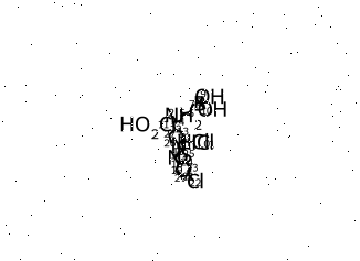 Cl.Cl.NC(CCCCB(O)O)(C(=O)O)C1CCN(c2nc3ccc(Cl)cc3s2)CC1